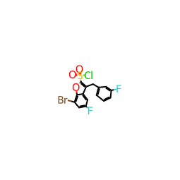 O=S(=O)(Cl)c1oc2c(Br)cc(F)cc2c1Cc1cccc(F)c1